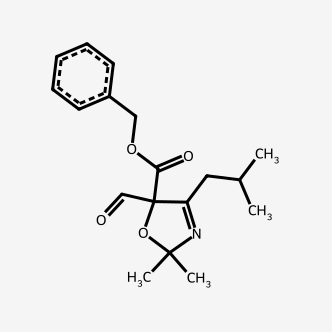 CC(C)CC1=NC(C)(C)OC1(C=O)C(=O)OCc1ccccc1